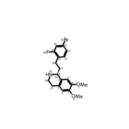 COc1cc2c(cc1OC)[C@H](CCc1ccc(Br)cc1F)NCC2